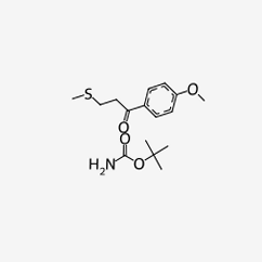 CC(C)(C)OC(N)=O.COc1ccc(C(=O)CCSC)cc1